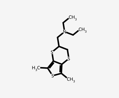 CCN(CC)CC1CSc2c(C)sc(C)c2S1